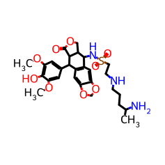 COc1cc(C2c3cc4c(cc3C(NS(=O)(=O)CCNCCCC(C)N)C3COC(=O)C23)OCO4)cc(OC)c1O